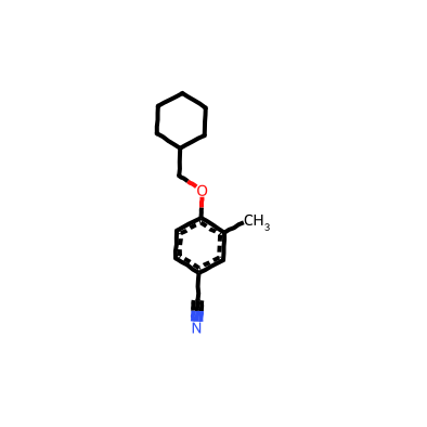 Cc1cc(C#N)ccc1OCC1CCCCC1